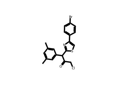 Cc1cc(C)cc(C(C(=O)CCl)c2nc(-c3ccc(Br)cc3)cs2)c1